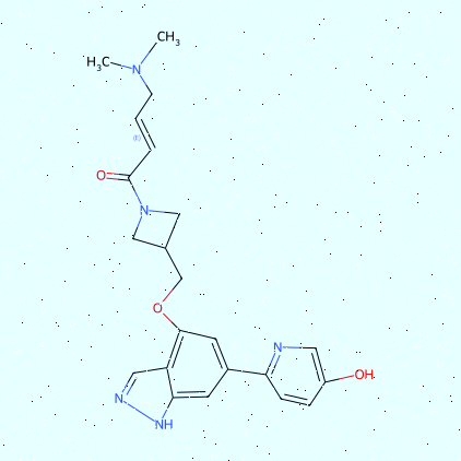 CN(C)C/C=C/C(=O)N1CC(COc2cc(-c3ccc(O)cn3)cc3[nH]ncc23)C1